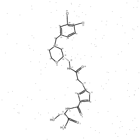 NC(=O)[C@H](CO)NC(=O)c1csc(SCC(=O)NC[C@H]2CN(Cc3ccc(Cl)c(Cl)c3)CCO2)n1